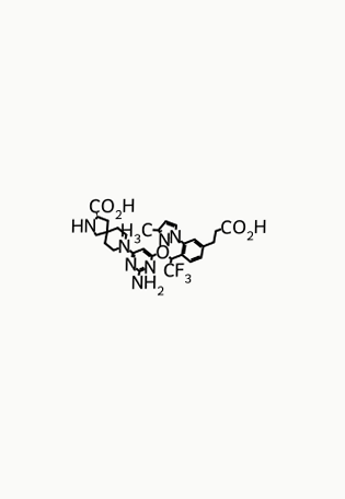 Cc1ccn(-c2cc(CCC(=O)O)ccc2C(Oc2cc(N3CCC4(CC3)CN[C@H](C(=O)O)C4)nc(N)n2)C(F)(F)F)n1